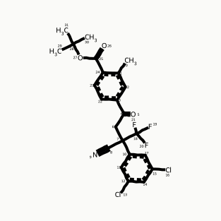 Cc1cc(C(=O)CC(C#N)(c2cc(Cl)cc(Cl)c2)C(F)(F)F)ccc1C(=O)OC(C)(C)C